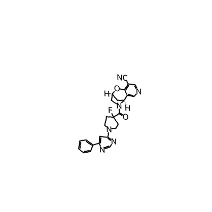 N#Cc1cncc2c1O[C@H]1C[C@@H]2N(C(=O)C2(F)CCN(c3cc(-c4ccccc4)ncn3)CC2)C1